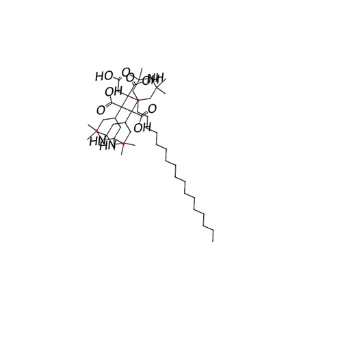 CCCCCCCCCCCCCCCCCCC(CC(=O)O)(C(=O)O)C(C(=O)O)(C1CC(C)(C)NC(C)(C)C1)C(C(=O)O)(C1CC(C)(C)NC(C)(C)C1)C1CC(C)(C)NC(C)(C)C1